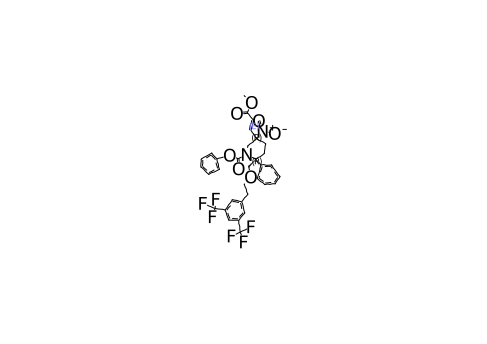 COC(=O)/C=C/[C@]1([N+](=O)[O-])CC[C@](COCCc2cc(C(F)(F)F)cc(C(F)(F)F)c2)(c2ccccc2)N(C(=O)Oc2ccccc2)C1